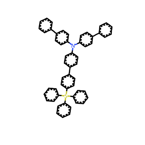 c1ccc(-c2ccc(N(c3ccc(-c4ccccc4)cc3)c3ccc(-c4ccc(S(c5ccccc5)(c5ccccc5)c5ccccc5)cc4)cc3)cc2)cc1